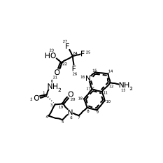 NC(=O)[C@H]1CCN(Cc2ccc3c(N)ccnc3c2)C1=O.O=C(O)C(F)(F)F